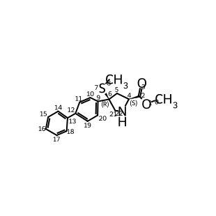 COC(=O)[C@@H]1C[C@@](SC)(c2ccc(-c3ccccc3)cc2)CN1